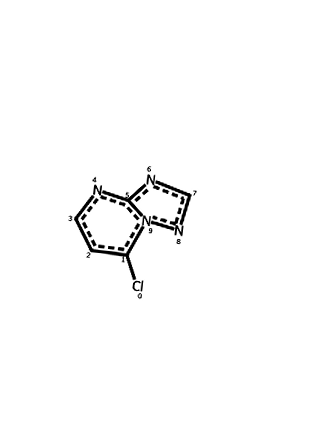 Clc1ccnc2ncnn12